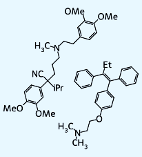 CC/C(=C(\c1ccccc1)c1ccc(OCCN(C)C)cc1)c1ccccc1.COc1ccc(CCN(C)CCCC(C#N)(c2ccc(OC)c(OC)c2)C(C)C)cc1OC